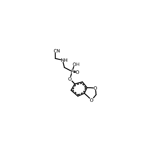 N#CCNCP(=O)(O)Oc1ccc2c(c1)OCO2